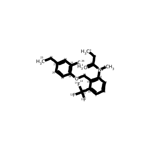 CCC(=O)N(C)c1cccc(C(F)(F)F)c1COc1ccc(CC)cc1C